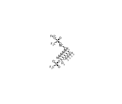 CC#N.CC#N.CC#N.CC#N.CC#N.CC#N.O=S(=O)([O-])C(F)(F)F.O=S(=O)([O-])C(F)(F)F.[Fe+2]